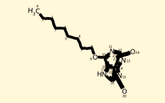 CCCCCCCCCOc1nc2nc3nc([nH]c13)C(=O)CCC2=O